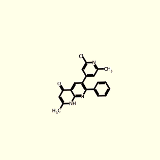 Cc1cc(-c2cc3c(=O)cc(C)[nH]c3nc2-c2ccccc2)cc(Cl)n1